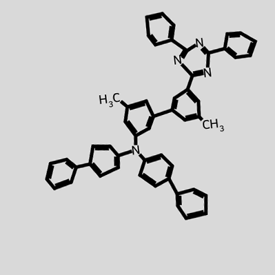 Cc1cc(-c2cc(C)cc(N(c3ccc(-c4ccccc4)cc3)c3ccc(-c4ccccc4)cc3)c2)cc(-c2nc(-c3ccccc3)nc(-c3ccccc3)n2)c1